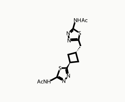 CC(=O)Nc1nnc(C[C@H]2C[C@H](c3nnc(NC(C)=O)s3)C2)s1